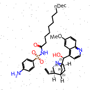 C=C[C@H]1C[N@]2CC[C@H]1C[C@@H]2[C@@H](O)c1ccnc2ccc(OC)cc12.CCCCCCCCCCCCCCCCCC(=O)NS(=O)(=O)c1ccc(N)cc1